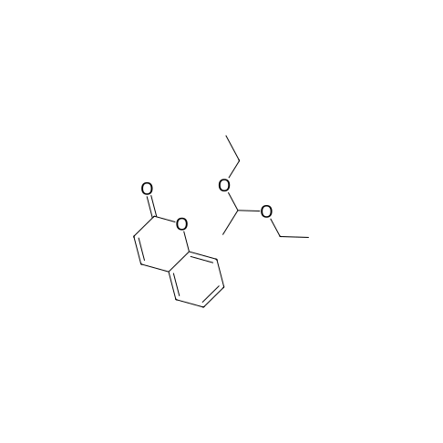 CCOC(C)OCC.O=c1ccc2ccccc2o1